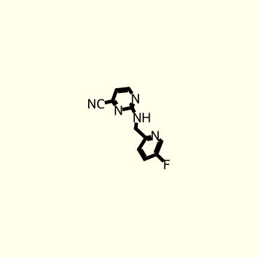 N#Cc1ccnc(NCc2ccc(F)cn2)n1